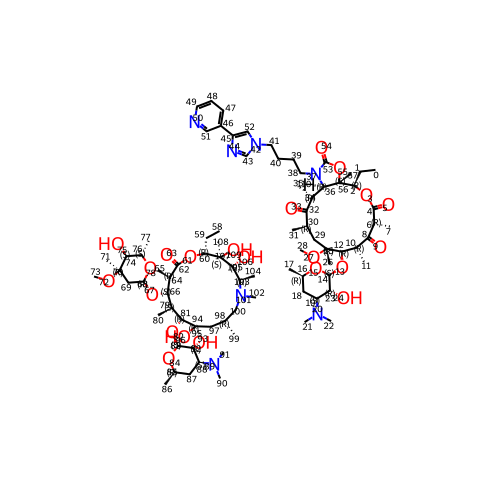 CC[C@H]1OC(=O)[C@H](C)C(=O)[C@H](C)[C@@H](O[C@@H]2O[C@H](C)C[C@H](N(C)C)[C@H]2O)[C@](C)(OC)C[C@@H](C)C(=O)[C@H](C)[C@H]2N(CCCCn3cnc(-c4cccnc4)c3)C(=O)O[C@]12C.CC[C@H]1OC(=O)[C@H](C)[C@@H](O[C@H]2C[C@@](C)(OC)[C@@H](O)[C@H](C)O2)[C@H](C)[C@@H](O[C@@H]2O[C@H](C)C[C@H](N(C)C)[C@H]2O)[C@](C)(O)C[C@@H](C)CN(C)[C@H](C)[C@@H](O)[C@]1(C)O